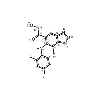 Cc1cc(I)ccc1Nc1c(C(=O)NO)cc2nonc2c1F